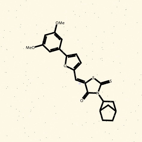 COc1cc(OC)cc(-c2ccc(/C=C3\SC(=S)N(C4CC5CCC4C5)C3=O)o2)c1